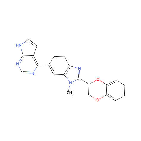 Cn1c(C2COc3ccccc3O2)nc2ccc(-c3ncnc4[nH]ccc34)cc21